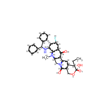 CC[C@@]1(O)C(=O)OCc2c1cc1n(c2=O)Cc2c-1c(=O)c1cc(F)cc(NC(c3ccccc3)c3ccccc3)c1n2C